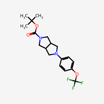 CC(C)(C)OC(=O)N1CC2CN(c3ccc(OC(F)(F)F)cc3)CC2C1